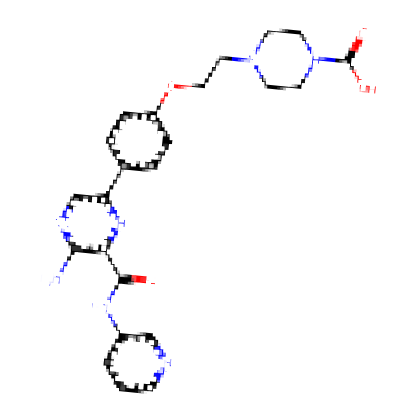 Nc1ncc(-c2ccc(OCCN3CCN(C(=O)O)CC3)cc2)nc1C(=O)Nc1cccnc1